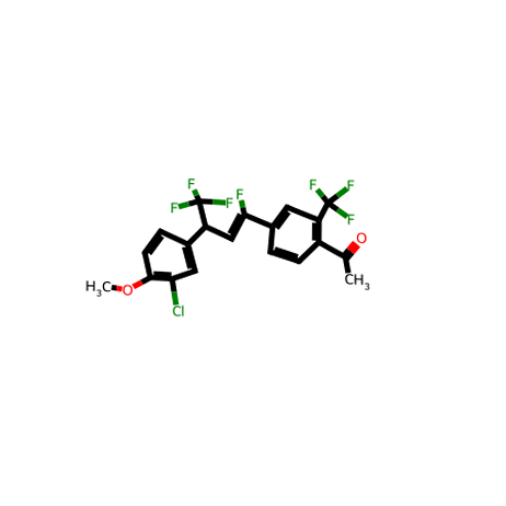 COc1ccc(C(/C=C(\F)c2ccc(C(C)=O)c(C(F)(F)F)c2)C(F)(F)F)cc1Cl